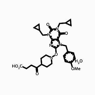 COc1ccc(Cn2c(ON3CCC(C(=O)CCC(=O)O)CC3)nc3c2c(=O)n(CC2CC2)c(=O)n3CC2CC2)cc1.O